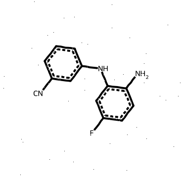 [C-]#[N+]c1cccc(Nc2cc(F)ccc2N)c1